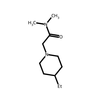 CCC1CCN(CC(=O)N(C)C)CC1